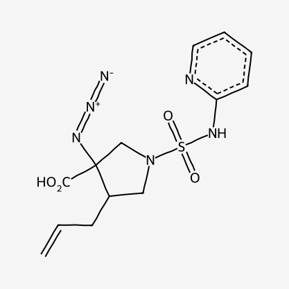 C=CCC1CN(S(=O)(=O)Nc2ccccn2)CC1(N=[N+]=[N-])C(=O)O